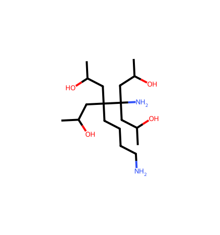 CC(O)CC(N)(CC(C)O)C(CCCCN)(CC(C)O)CC(C)O